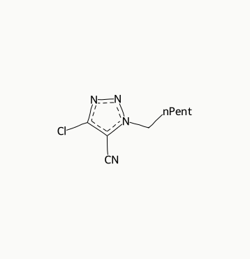 CCCCCCn1nnc(Cl)c1C#N